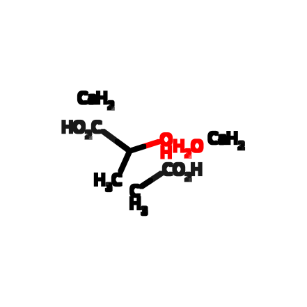 CC(=O)O.CC(O)C(=O)O.O.[CaH2].[CaH2]